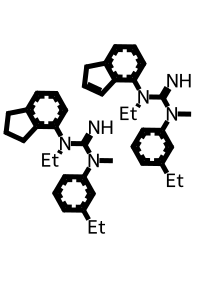 CCc1cccc(N(C)C(=N)N(CC)c2cccc3c2C=CC3)c1.CCc1cccc(N(C)C(=N)N(CC)c2cccc3c2CCC3)c1